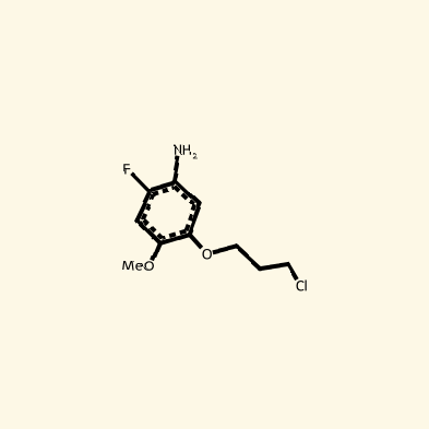 COc1cc(F)c(N)cc1OCCCCl